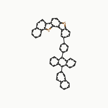 c1ccc2cc(-c3c4ccccc4c(-c4ccc(-c5ccc6sc7ccc8c9ccc%10ccccc%10c9sc8c7c6c5)cc4)c4ccccc34)ccc2c1